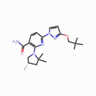 C[C@@H]1CN(c2nc(-n3ccc(OCC(C)(C)C)n3)ccc2C(N)=O)C(C)(C)C1